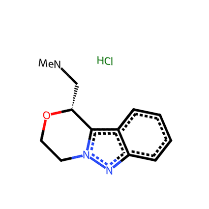 CNC[C@H]1OCCn2nc3ccccc3c21.Cl